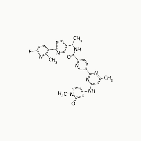 Cc1cc(Nc2ccn(C)c(=O)c2)nc(-c2ccc(C(=O)NC(C)c3ccc(-c4ccc(F)nc4C)nc3)nc2)n1